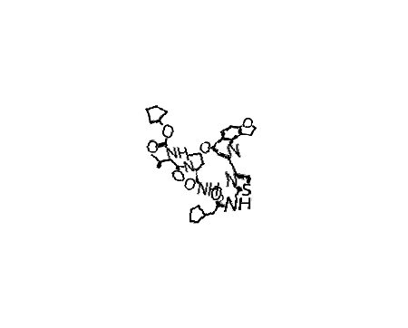 C=C(C)[C@H](NC(=O)OC1CCCC1)C(=O)N1C[C@H](Oc2cc(-c3csc(NC(=O)CC4CCCC4)n3)nc3c4c(ccc23)OCC4)C[C@H]1C(N)=O